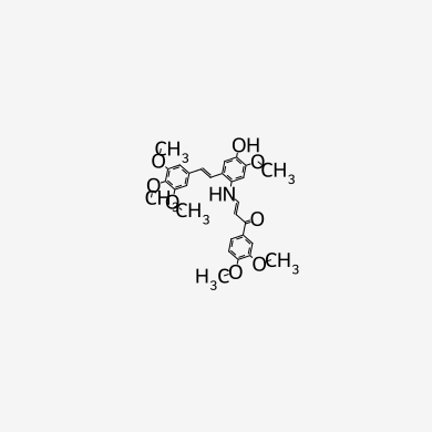 COc1cc(NC=CC(=O)c2ccc(OC)c(OC)c2)c(C=Cc2cc(OC)c(OC)c(OC)c2)cc1O